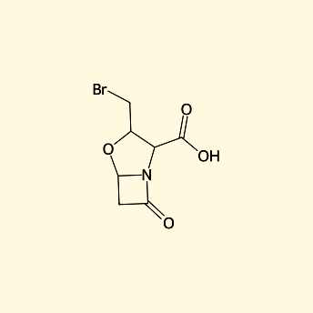 O=C(O)C1C(CBr)OC2CC(=O)N21